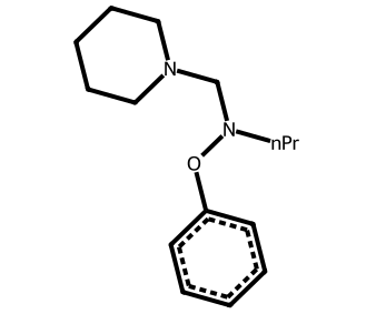 CCCN(CN1CCCCC1)Oc1ccccc1